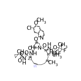 CC[C@@H]1C[C@@H](C)CC/C=C\C2C[C@@]2(C(=O)NS(=O)(=O)C2(C)CC2)NC(=O)[C@@H]2C[C@@H](Oc3nccc4cc(OC)c(Cl)cc34)CN2C(=O)[C@H]1NC(=O)OC(C)(C)C(F)(F)F